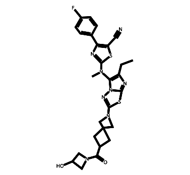 CCc1nc2sc(N3CC4(CC(C(=O)N5CC(O)C5)C4)C3)nn2c1N(C)c1nc(-c2ccc(F)cc2)c(C#N)s1